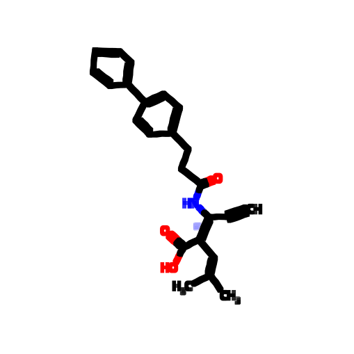 C#C/C(NC(=O)CCc1ccc(-c2ccccc2)cc1)=C(\C=C(C)C)C(=O)O